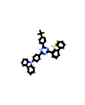 CC(C)(C)c1ccc(-c2nc(-c3ccc(-n4c5ccccc5c5ccccc54)cc3)nc(-c3cccc4c3sc3ccccc34)n2)cc1